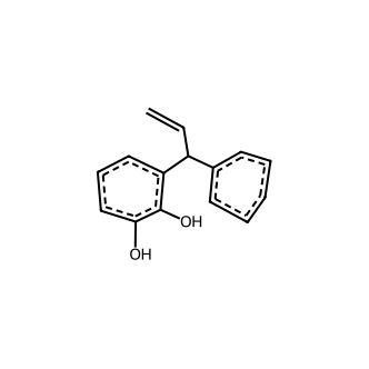 C=CC(c1ccccc1)c1cccc(O)c1O